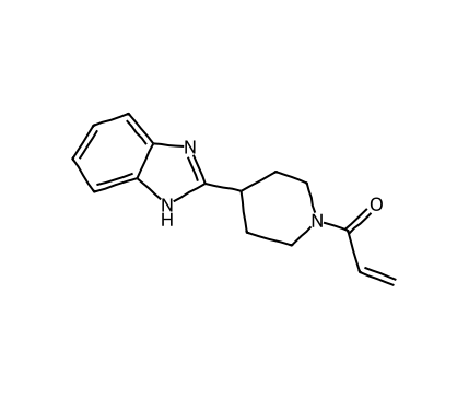 C=CC(=O)N1CCC(c2nc3ccccc3[nH]2)CC1